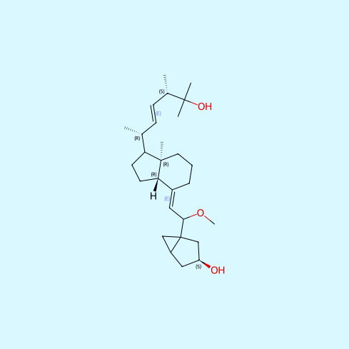 COC(/C=C1\CCC[C@]2(C)C([C@H](C)/C=C/[C@H](C)C(C)(C)O)CC[C@@H]12)C12CC1C[C@H](O)C2